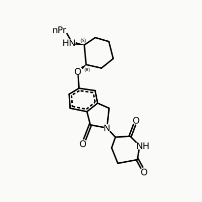 CCCN[C@H]1CCCC[C@H]1Oc1ccc2c(c1)CN(C1CCC(=O)NC1=O)C2=O